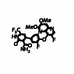 COc1cc2ncc(F)c(Oc3ccc(-c4cc(C(F)(F)F)[nH]c(=O)c4C(N)=O)cc3F)c2nc1OC